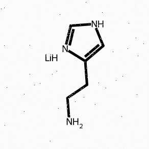 NCCc1c[nH]cn1.[LiH]